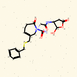 NC(=O)[N@@+]1(CC(=O)NC2CC(=O)OC2O)CC(CSCc2ccccc2)=CC[C]C1=O